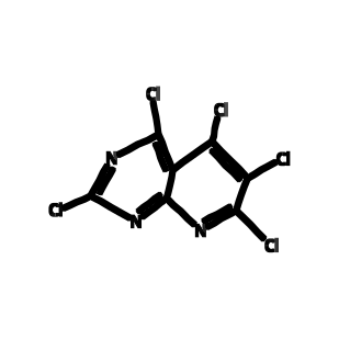 Clc1nc(Cl)c2c(Cl)c(Cl)c(Cl)nc2n1